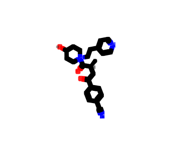 C[C@@H](CC(=O)c1ccc(C#N)cc1)C(=O)[N+]1(CCc2ccncc2)CCC([O])CC1